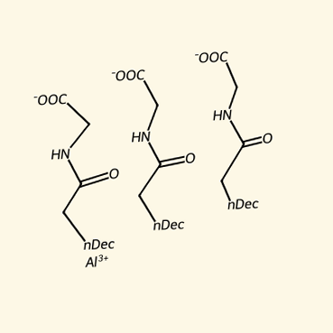 CCCCCCCCCCCC(=O)NCC(=O)[O-].CCCCCCCCCCCC(=O)NCC(=O)[O-].CCCCCCCCCCCC(=O)NCC(=O)[O-].[Al+3]